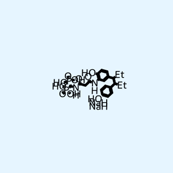 CCC(c1ccc(O)cc1)C(CC)c1ccc(O)c(NC(=O)CC(=O)NC(P(=O)(O)O)P(=O)(O)O)c1.[NaH].[NaH]